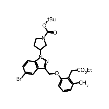 CCOC(=O)Cc1c(C)cccc1OCc1nn(C2CCN(C(=O)OC(C)(C)C)C2)c2ccc(Br)cc12